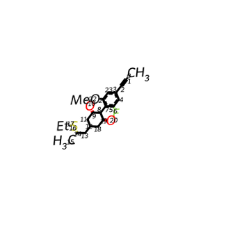 CC#Cc1cc(F)c(C2C(=O)CC(CC(C)SCC)CC2=O)c(OC)c1